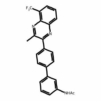 CC(=O)Nc1cccc(-c2ccc(-c3nc4cccc(C(F)(F)F)c4nc3C)cc2)c1